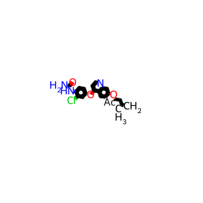 C=C(C)CCOc1cc2nccc(Oc3ccc(NC(N)=O)c(Cl)c3)c2cc1C(C)=O